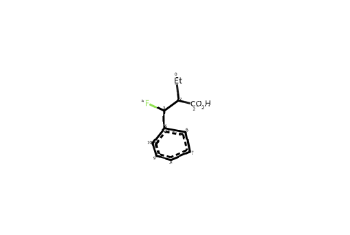 CCC(C(=O)O)C(F)c1ccccc1